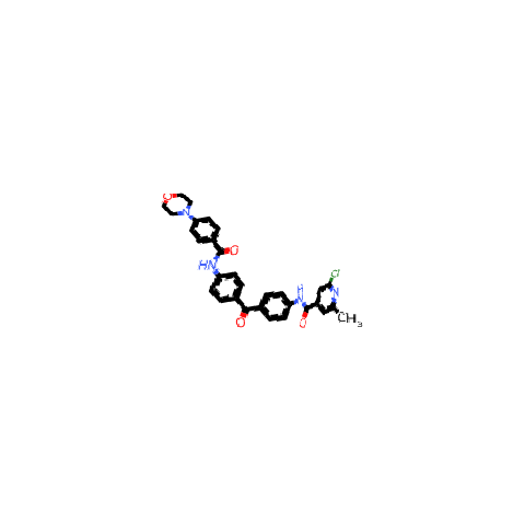 Cc1cc(C(=O)Nc2ccc(C(=O)c3ccc(NC(=O)c4ccc(N5CCOCC5)cc4)cc3)cc2)cc(Cl)n1